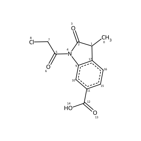 CC1C(=O)N(C(=O)CCl)c2cc(C(=O)O)ccc21